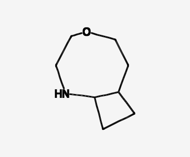 C1COCCC2CCC2N1